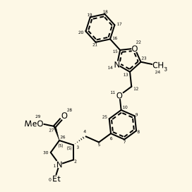 CCN1C[C@@H](CCc2cccc(OCc3nc(-c4ccccc4)oc3C)c2)[C@H](C(=O)OC)C1